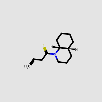 C=CCC(=S)N1CCC[C@H]2CCCC[C@H]21